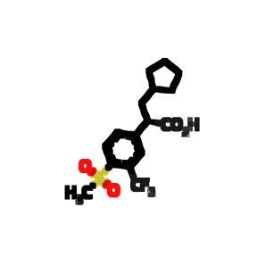 CS(=O)(=O)c1ccc([C@@H](CC2CCCC2)C(=O)O)cc1C(F)(F)F